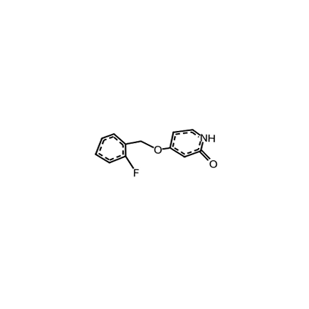 O=c1cc(OCc2ccccc2F)cc[nH]1